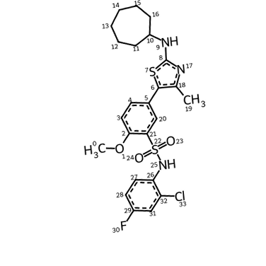 COc1ccc(-c2sc(NC3CCCCCC3)nc2C)cc1S(=O)(=O)Nc1ccc(F)cc1Cl